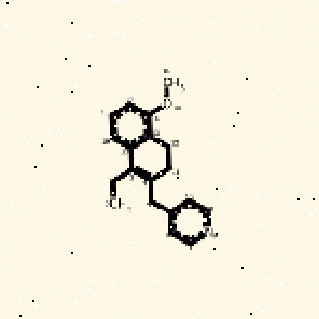 CCC1=C(Cc2ccncc2)CCc2c(OC)cccc21